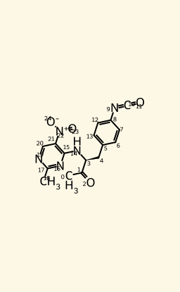 CC(=O)[C@H](Cc1ccc(N=C=O)cc1)Nc1nc(C)ncc1[N+](=O)[O-]